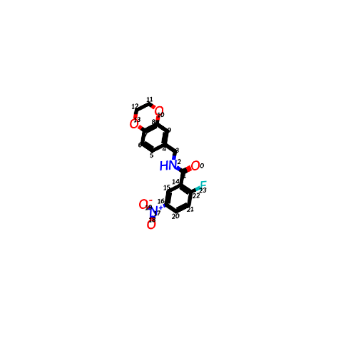 O=C(NCc1ccc2c(c1)OCCO2)c1cc([N+](=O)[O-])ccc1F